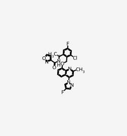 Cc1cc(-n2cc(F)cn2)c2cccc(OCc3c(Cl)cc(F)cc3[C@H](C)NC(=O)c3ccon3)c2n1